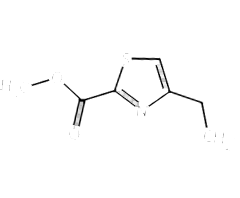 [CH2]Cc1csc(C(=O)OC)n1